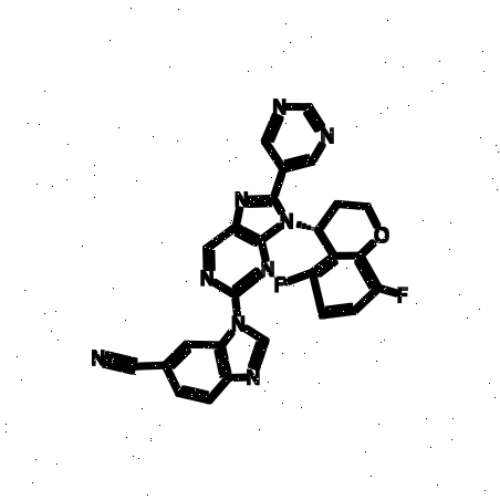 N#Cc1ccc2ncn(-c3ncc4nc(-c5cncnc5)n([C@@H]5CCOc6c(F)ccc(F)c65)c4n3)c2c1